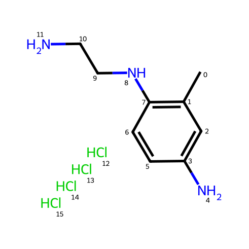 Cc1cc(N)ccc1NCCN.Cl.Cl.Cl.Cl